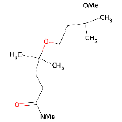 CNC(=O)CCC(C)(C)OCCC(C)(C)OC